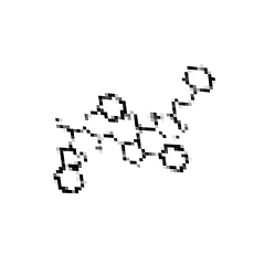 CC(C)[C@H](NC(=O)OCc1ccccc1)C(=O)N1C(c2ccccc2)SC[C@H]1C(=O)N[C@@H](Cc1ccccc1)C(=O)c1nc2ccccc2o1